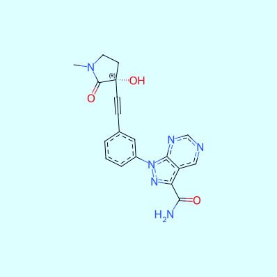 CN1CC[C@@](O)(C#Cc2cccc(-n3nc(C(N)=O)c4cncnc43)c2)C1=O